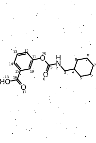 O=C(NCC1CCCCC1)Oc1cccc(C(=O)O)c1